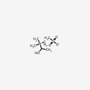 CC(O)[N+](C)(C)C.CS(=O)(=O)[O-]